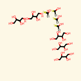 CCC(O)=S.CCC(O)=S.CCC(O)=S.CCC(O)=S.OCC(O)C(O)CO.OCC(O)C(O)CO.OCC(O)C(O)CO.OCC(O)C(O)CO.OCC(O)C(O)CO